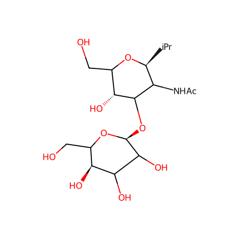 CC(=O)NC1C(O[C@@H]2OC(CO)[C@H](O)C(O)C2O)[C@H](O)C(CO)O[C@H]1C(C)C